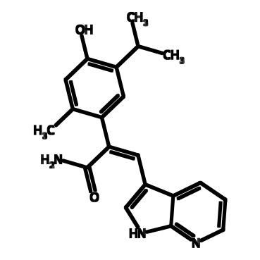 Cc1cc(O)c(C(C)C)cc1C(=Cc1c[nH]c2ncccc12)C(N)=O